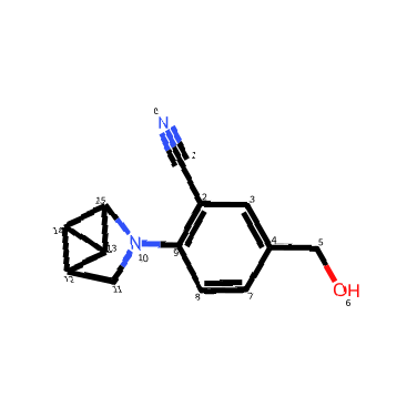 N#Cc1cc(CO)ccc1N1CC2C3C2C31